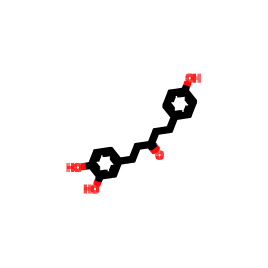 O=C(CCc1ccc(O)cc1)CCc1ccc(O)c(O)c1